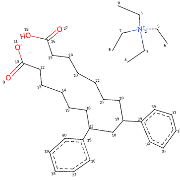 CC[N+](CC)(CC)CC.O=C([O-])CCCCCC(CC(CCCCCCC(=O)O)c1ccccc1)c1ccccc1